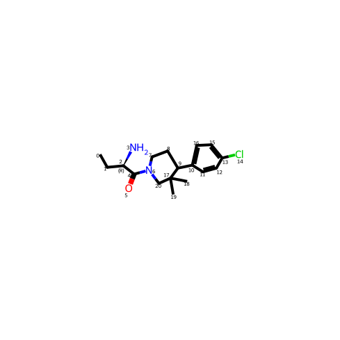 CC[C@@H](N)C(=O)N1CCC(c2ccc(Cl)cc2)C(C)(C)C1